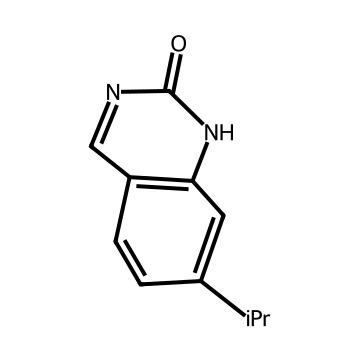 CC(C)c1ccc2cnc(=O)[nH]c2c1